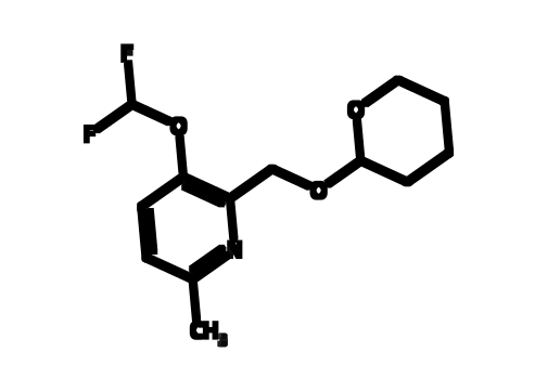 Cc1ccc(OC(F)F)c(COC2CCCCO2)n1